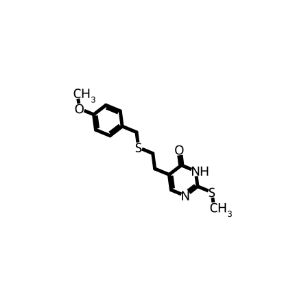 COc1ccc(CSCCc2cnc(SC)[nH]c2=O)cc1